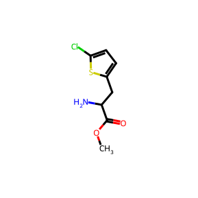 COC(=O)C(N)Cc1ccc(Cl)s1